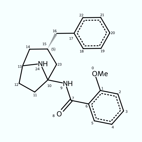 COc1ccccc1C(=O)NC12CCC(C[C@H](Cc3ccccc3)C1)N2